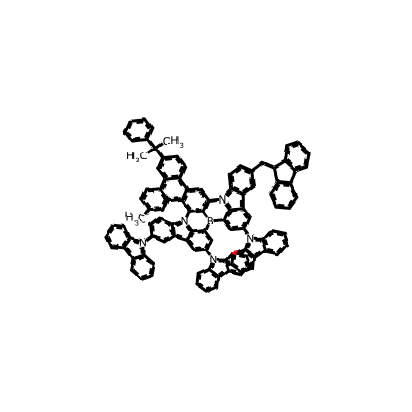 Cc1ccc2c3cc(C(C)(C)c4ccccc4)ccc3c3cc4c5c(c3c2c1)-n1c2ccc(-n3c6ccccc6c6ccccc63)cc2c2cc(-n3c6ccccc6c6ccccc63)cc(c21)B5c1cc(-n2c3ccccc3c3ccccc32)cc2c3cc(CC5c6ccccc6-c6ccccc65)ccc3n-4c12